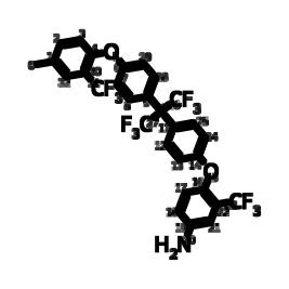 Cc1ccc(Oc2ccc(C(c3ccc(Oc4ccc(N)cc4C(F)(F)F)cc3)(C(F)(F)F)C(F)(F)F)cc2)c(C(F)(F)F)c1